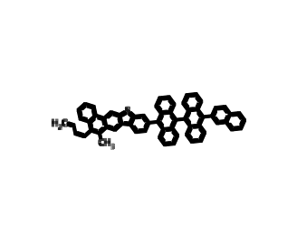 C=C/C=C\c1c(C)c2cc3c(cc2c2ccccc12)sc1cc(-c2c4ccccc4c(-c4c5ccccc5c(-c5ccc6ccccc6c5)c5ccccc45)c4ccccc24)ccc13